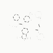 O=C(/C=C/CN1CCC[C@@H](Nc2ccc(/C(=C(/CC(F)(F)F)c3ccccc3)c3ccc4[nH]nc(F)c4c3)cn2)C1)N1CCOCC1